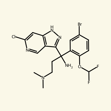 CN(C)CCC(N)(c1cc(Br)ccc1OC(F)F)c1n[nH]c2cc(Cl)ncc12